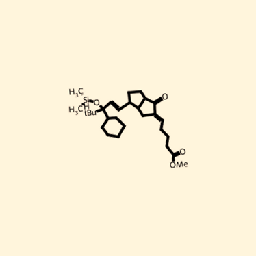 COC(=O)CCCC=C1CC2C(C=CC(O[SiH](C)C)(C3CCCCC3)C(C)(C)C)CCC2C1=O